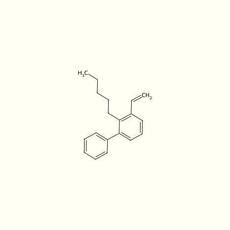 C=Cc1cccc(-c2ccccc2)c1CCCCC